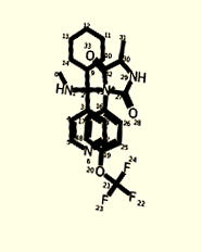 CNC(c1ccncc1)(C1CCCCC1)[N+]1(c2ccc(OC(F)(F)F)cc2)C(=O)NC(C)C1=O